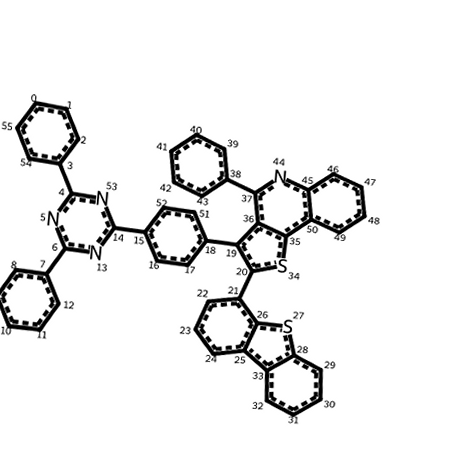 c1ccc(-c2nc(-c3ccccc3)nc(-c3ccc(-c4c(-c5cccc6c5sc5ccccc56)sc5c4c(-c4ccccc4)nc4ccccc45)cc3)n2)cc1